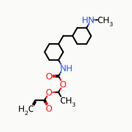 C=CC(=O)OC(C)OC(=O)NC1CCCC(CC2CCCC(NC)C2)C1